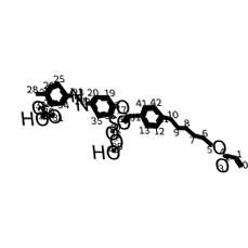 C=CC(=O)OCCCCCCc1ccc(C(=O)Oc2ccc(/N=N/c3ccc(C)c(S(=O)(=O)O)c3)cc2SOOO)cc1